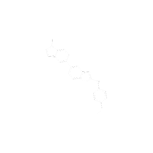 COc1ccc(Nc2nc3cc(-c4ccc5c(ccn5C)c4)ccc3o2)cc1